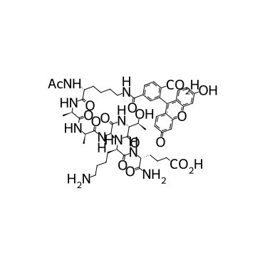 CC(=O)N[C@H](CCCCNC(=O)c1ccc(C(=O)O)c(-c2c3ccc(=O)cc-3oc3cc(O)ccc23)c1)C(=O)N[C@H](C)C(=O)N[C@H](C)C(=O)N[C@H](C)C(=O)N[C@@H](C(=O)N[C@H](CCCCN)C(=O)N[C@H](CCCC(=O)O)C(N)=O)[C@H](C)O